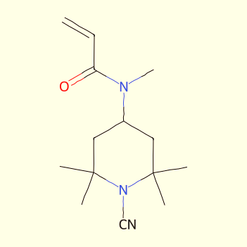 C=CC(=O)N(C)C1CC(C)(C)N(C#N)C(C)(C)C1